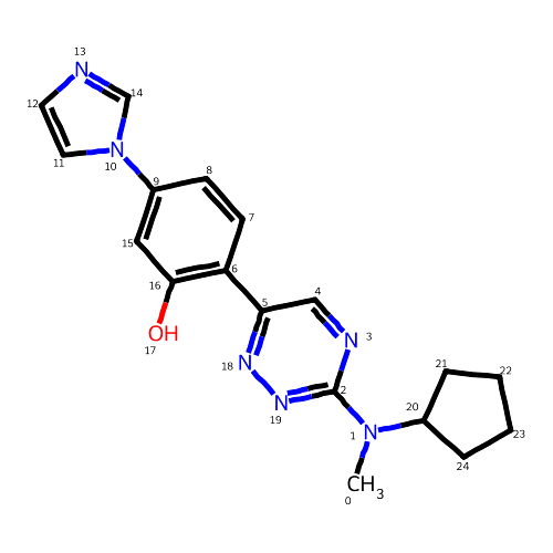 CN(c1ncc(-c2ccc(-n3ccnc3)cc2O)nn1)C1CCCC1